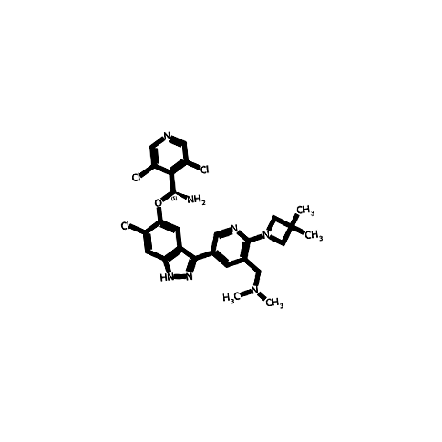 CN(C)Cc1cc(-c2n[nH]c3cc(Cl)c(O[C@H](N)c4c(Cl)cncc4Cl)cc23)cnc1N1CC(C)(C)C1